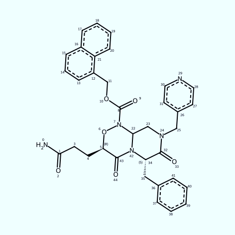 NC(=O)CC[C@H]1ON(C(=O)OCc2cccc3ccccc23)C2CN(Cc3ccncc3)C(=O)[C@H](Cc3ccccc3)N2C1=O